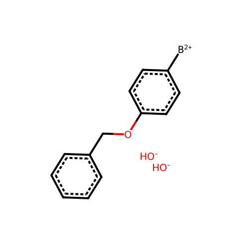 [B+2]c1ccc(OCc2ccccc2)cc1.[OH-].[OH-]